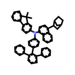 CC1(C)c2ccccc2-c2ccc(N(c3ccc(-c4c(-c5ccccc5)cccc4-c4ccccc4)cc3)c3ccc(C4CC5CCC4C5)c4ccccc34)cc21